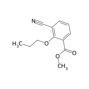 CCCOc1c(C#N)cccc1C(=O)OC